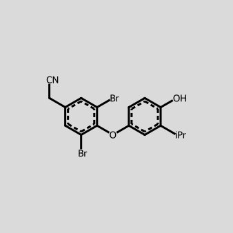 CC(C)c1cc(Oc2c(Br)cc(CC#N)cc2Br)ccc1O